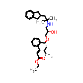 CCC[C@@H](OC[C@H](O)CNC(C)(C)CC1Cc2ccccc2C1)c1ccccc1/C=C/C(=O)OCC